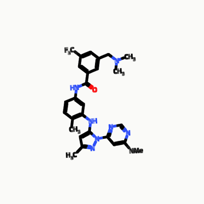 CNc1cc(-n2nc(C)cc2Nc2cc(NC(=O)c3cc(CN(C)C)cc(C(F)(F)F)c3)ccc2C)ncn1